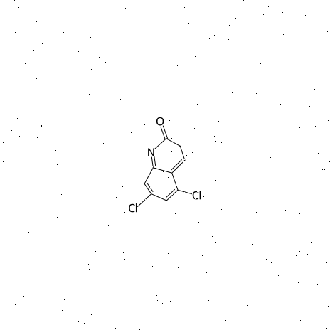 O=C1CC=c2c(Cl)cc(Cl)cc2=N1